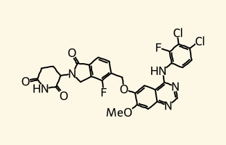 COc1cc2ncnc(Nc3ccc(Cl)c(Cl)c3F)c2cc1OCc1ccc2c(c1F)CN(C1CCC(=O)NC1=O)C2=O